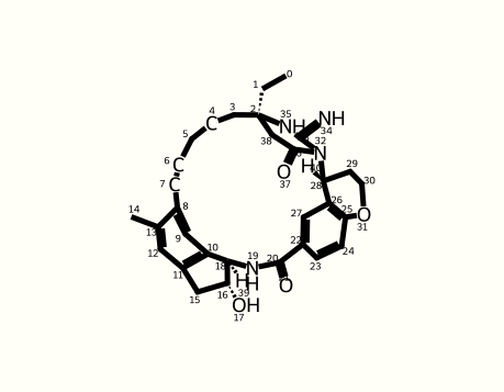 CC[C@]12CCCCCc3cc4c(cc3C)C[C@@H](O)[C@@H]4NC(=O)c3ccc4c(c3)[C@@H](CCO4)N(C(=N)N1)C(=O)C2